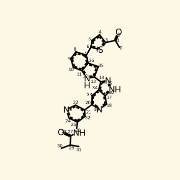 CC(=O)c1ccc(-c2cccc3[nH]c(-c4n[nH]c5cnc(-c6cncc(NC(=O)C(C)C)c6)cc45)cc23)s1